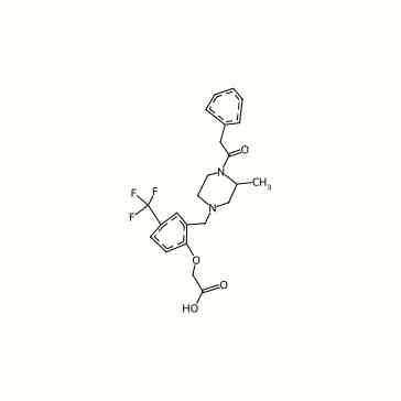 CC1CN(Cc2cc(C(F)(F)F)ccc2OCC(=O)O)CCN1C(=O)Cc1ccccc1